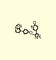 Cn1cc(-c2ccc(=O)n(C)c2)c(COc2ccc(-c3cccn4ccnc34)cc2)n1